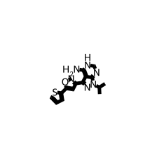 CC(C)n1nc(-c2cc(-c3cccs3)on2)c2c1=NCNC=2N